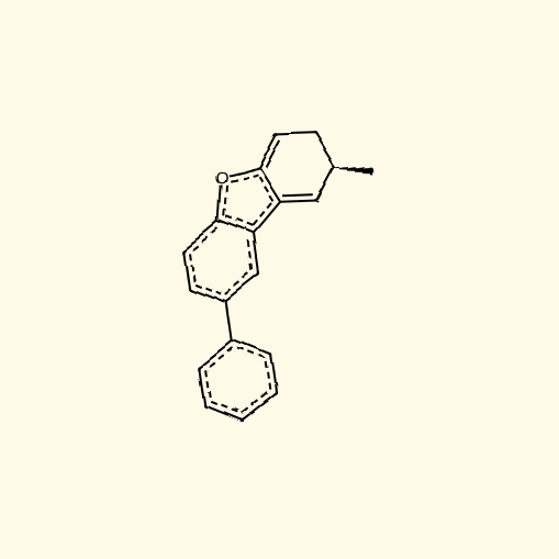 C[C@H]1C=c2c(oc3ccc(-c4ccccc4)cc23)=CC1